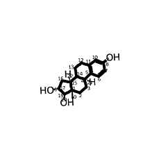 C[C@]12CC[C@@H]3c4ccc(O)cc4CCC3[C@@H]1C[C@@H](O)[C@@H]2O